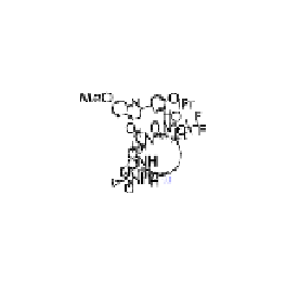 CC[C@@H]1CCCC/C=C\[C@@H]2C[C@@]2(C(=O)NS(=O)(=O)C2CC2)NC(=O)[C@@H]2C[C@@H](Oc3cc(-c4ccc(OC(C)C)cc4)nc4cc(OC)ccc34)CN2C(=O)[C@H]1NC(=O)OC(C)(C)C(F)F